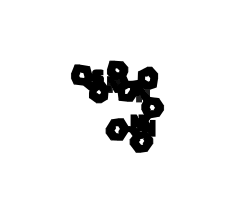 c1ccc(-c2nc(-c3cccc(-n4c5ccccc5c5c6c7ccccc7n(-c7cccc8c7sc7ccccc78)c6ccc54)c3)nc3ccccc23)cc1